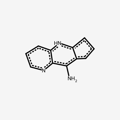 Nc1c2cccc-2[nH]c2cccnc12